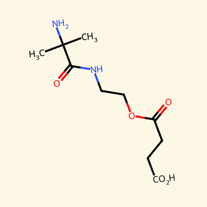 CC(C)(N)C(=O)NCCOC(=O)CCC(=O)O